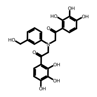 O=C(CN(CC(=O)c1ccc(O)c(O)c1O)c1cccc(CO)c1)c1ccc(O)c(O)c1O